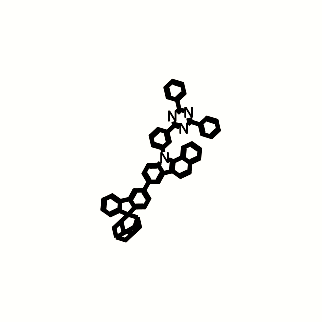 c1ccc(-c2nc(-c3ccccc3)nc(-c3cccc(-n4c5ccc(-c6ccc7c(c6)-c6ccccc6C76C7CC8CC(C7)CC6C8)cc5c5ccc6ccccc6c54)c3)n2)cc1